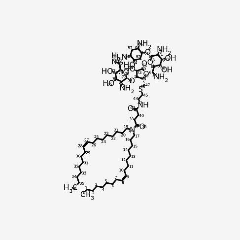 CCCCCCCC/C=C\CCCCCCCCN(CCCCCCCC/C=C\CCCCCCCC)C(=O)CCC(=O)NCCSC[C@H]1O[C@@H](O[C@@H]2C(O)[C@H](N)CC(N)[C@H]2O[C@H]2OC(CN)[C@@H](O)[C@H](O)C2N)C(O)[C@H]1O[C@H]1OC(CN)[C@@H](O)C(O)[C@H]1N